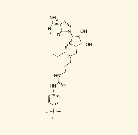 CCC(=O)N(CCCNC(=O)Nc1ccc(C(C)(C)C)cc1)C[C@H]1O[C@@H](n2cnc3c(N)ncnc32)[C@H](O)[C@@H]1O